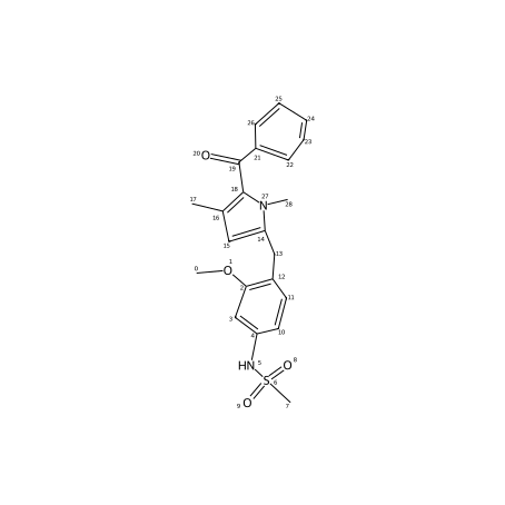 COc1cc(NS(C)(=O)=O)ccc1Cc1cc(C)c(C(=O)c2ccccc2)n1C